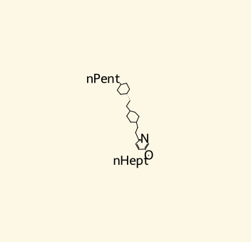 CCCCCCCOc1ccc(CCC2CCC(CC[C@H]3CC[C@H](CCCCC)CC3)CC2)nc1